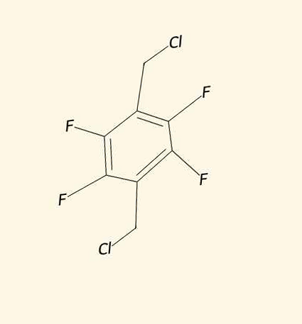 Fc1c(F)c(CCl)c(F)c(F)c1CCl